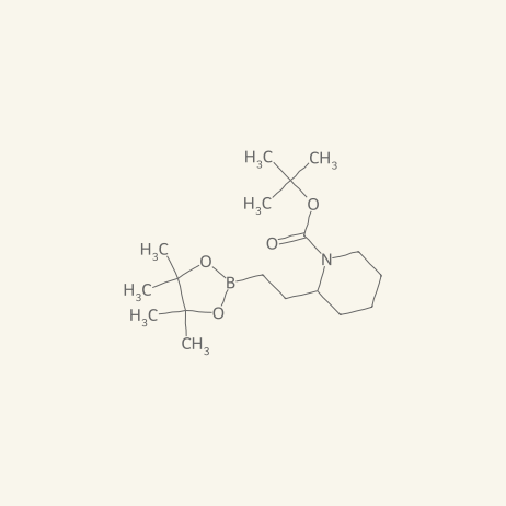 CC(C)(C)OC(=O)N1CCCCC1CCB1OC(C)(C)C(C)(C)O1